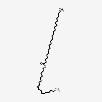 CCCCC/C=C\C/C=C\CCCCCCCCOC(=O)CCCCCCCCCCCCCCCCCCCCCCCC